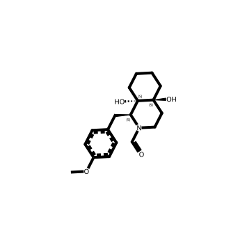 COc1ccc(C[C@@H]2N(C=O)CC[C@@]3(O)CCCC[C@]23O)cc1